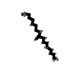 CCCCOCCOC(=O)OCCOCCCC